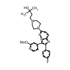 COc1cc(-c2c(-c3ccc(F)cc3)nc3ccc(N4CCN(CCC(C)(C)O)CC4)nn23)ccn1